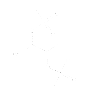 CCCC(OS(C)(=O)=O)C(C)OS(C)(=O)=O